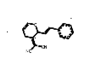 N#CC(C#N)=C1CC=COC1C=Cc1ccccc1